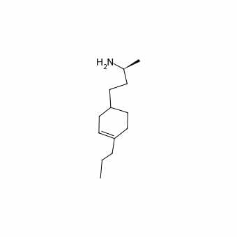 CCCC1=CCC(CC[C@H](C)N)CC1